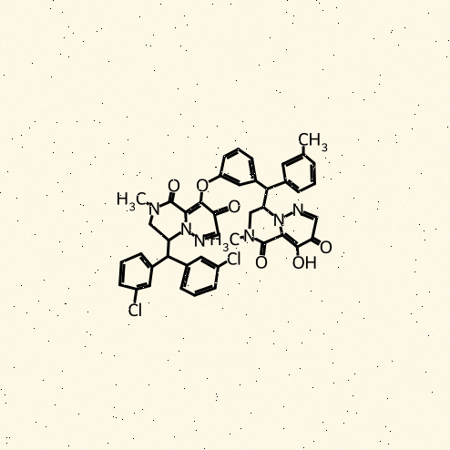 Cc1cccc(C(c2cccc(Oc3c4n(ncc3=O)C(C(c3cccc(Cl)c3)c3cccc(Cl)c3)CN(C)C4=O)c2)C2CN(C)C(=O)c3c(O)c(=O)cnn32)c1